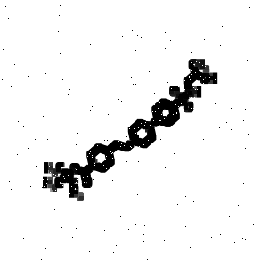 CC(O)CNS(=O)(=O)c1ccc(N2CCN(CCC3CCN(C(=O)OC(C)(C)C)CC3)CC2)cc1